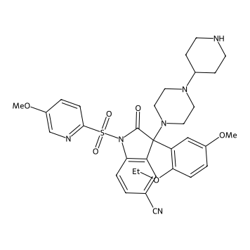 CCOc1ccc(OC)cc1C1(N2CCN(C3CCNCC3)CC2)C(=O)N(S(=O)(=O)c2ccc(OC)cn2)c2ccc(C#N)cc21